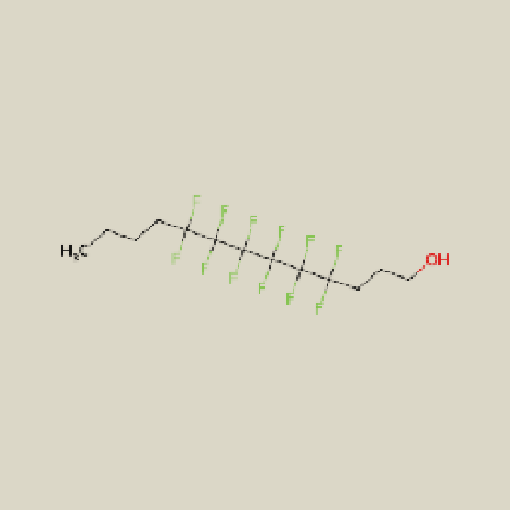 CCCCC(F)(F)C(F)(F)C(F)(F)C(F)(F)C(F)(F)C(F)(F)CCCO